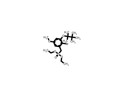 CCOP(=O)(Cc1cc(OC)cc(OC(C)(C)C(C)(C)C)c1Br)OCC